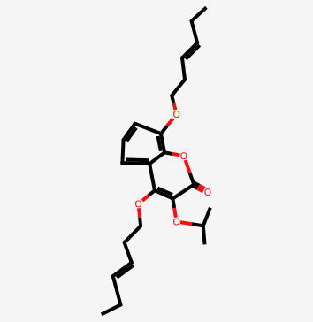 CCC=CCCOc1c(OC(C)C)c(=O)oc2c(OCCC=CCC)cccc12